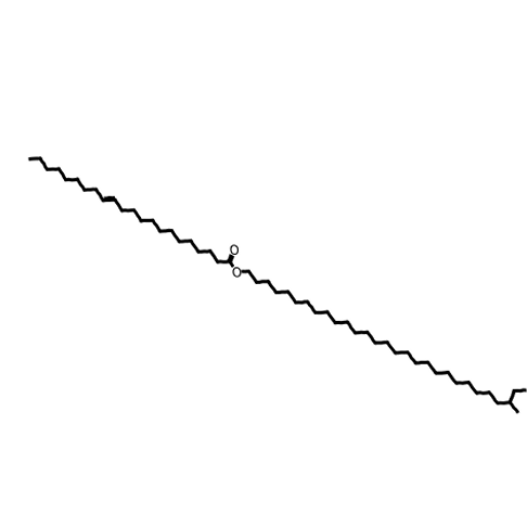 CCCCCCCCC=CCCCCCCCCCCCC(=O)OCCCCCCCCCCCCCCCCCCCCCCCCCCC(C)CC